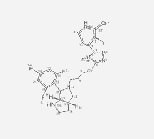 Cc1c(-c2nnc(SCCCN3C[C@@H]4CCN[C@@H]4C3c3c(F)cc(F)cc3F)n2C)cc[nH]c1=O